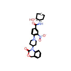 O=C(N[C@H]1CCCC[C@H]1O)c1ccc(N2CCC(N3C(=O)OCc4ccccc43)CC2)c([N+](=O)[O-])c1